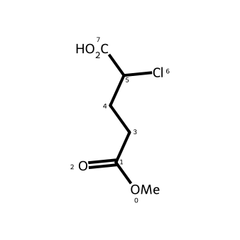 COC(=O)CCC(Cl)C(=O)O